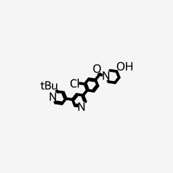 CC(C)(C)c1cc(-c2cncc(-c3ccc(C(=O)N4CCC[C@@H](O)C4)cc3Cl)c2)ccn1